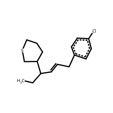 CC[C](C=CCc1ccc(Cl)cc1)C1CCCSC1